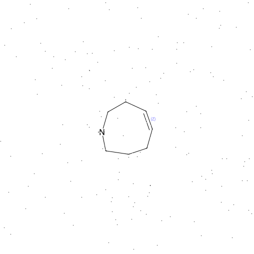 [CH]1/C=C\CCC[N]C1